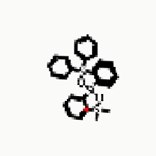 C[Si](C)(C)O[Si](O[Si](c1ccccc1)(c1ccccc1)c1ccccc1)(c1ccccc1)c1ccccc1